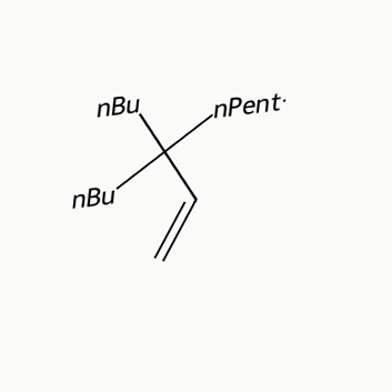 C=CC([CH]CCCC)(CCCC)CCCC